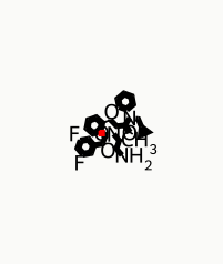 C[C@@H](C(N)=O)N(C(=O)Cc1cc(F)cc(F)c1)[C@@H]1C(=O)N(CC2CC2)c2ccccc2O[C@@H]1c1ccccc1